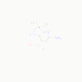 CC(O)c1cc(C#N)nc2c1NCC2(C)C